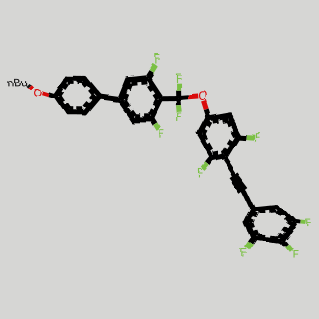 CCCCOc1ccc(-c2cc(F)c(C(F)(F)Oc3cc(F)c(C#Cc4cc(F)c(F)c(F)c4)c(F)c3)c(F)c2)cc1